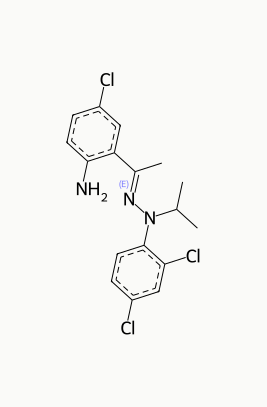 C/C(=N\N(c1ccc(Cl)cc1Cl)C(C)C)c1cc(Cl)ccc1N